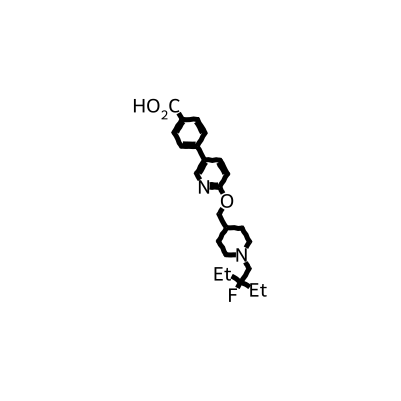 CCC(F)(CC)CN1CCC(COc2ccc(-c3ccc(C(=O)O)cc3)cn2)CC1